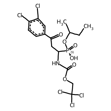 CCC(C)O[P@@](=O)(O)C(CC(=O)c1ccc(Cl)c(Cl)c1)NC(=O)OCC(Cl)(Cl)Cl